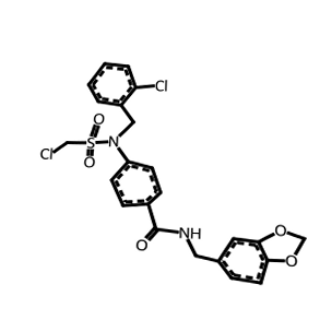 O=C(NCc1ccc2c(c1)OCO2)c1ccc(N(Cc2ccccc2Cl)S(=O)(=O)CCl)cc1